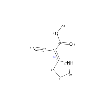 COC(=O)/C(C#N)=C1/CCCN1